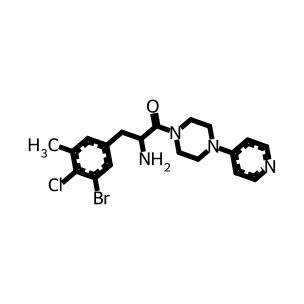 Cc1cc(CC(N)C(=O)N2CCN(c3ccncc3)CC2)cc(Br)c1Cl